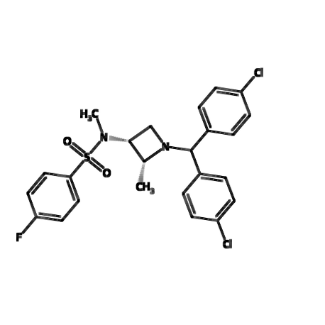 C[C@@H]1[C@H](N(C)S(=O)(=O)c2ccc(F)cc2)CN1C(c1ccc(Cl)cc1)c1ccc(Cl)cc1